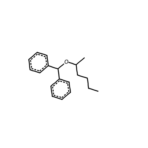 CCCCC(C)OC(c1ccccc1)c1ccccc1